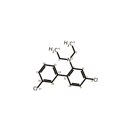 CCN(CC)c1cc(Cl)ccc1-c1cccc(Cl)c1